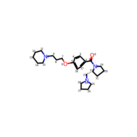 O=C(c1ccc(OCCCN2CCCCC2)cc1)N1CCC[C@@H]1CN1CCCC1